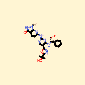 CC(C)n1[nH]c(=O)c2ccc(Nc3ncc(-c4nnc(C(C)(C)O)o4)c(N[C@H](CO)c4ccccc4)n3)nc21